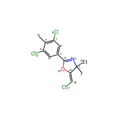 CCC1(C)N=C(c2cc(Cl)c(C)c(Cl)c2)OC1=CCl